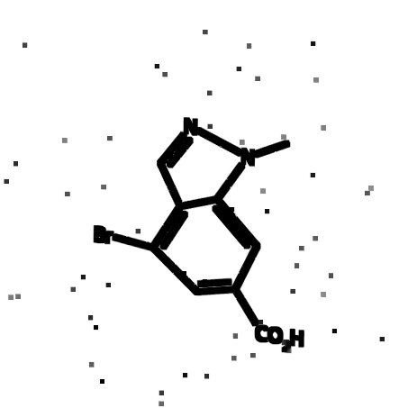 Cn1ncc2c(Br)cc(C(=O)O)cc21